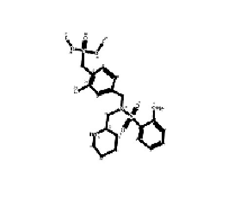 COc1ccccc1S(=O)(=O)N(Cc1ccc(CP(=O)(OF)OF)c(Cl)c1)CC1CCCCN1